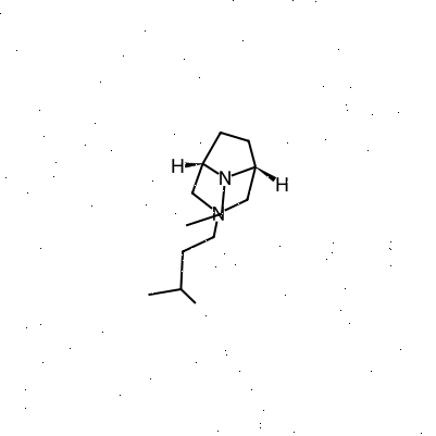 CCN1[C@@H]2CC[C@H]1CN(CCC(C)C)C2